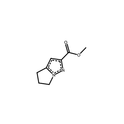 COC(=O)c1cc2n(n1)CCC2